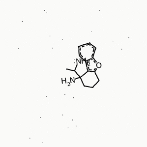 CC(N)C1(N)CCCc2oc3ccccc3c21